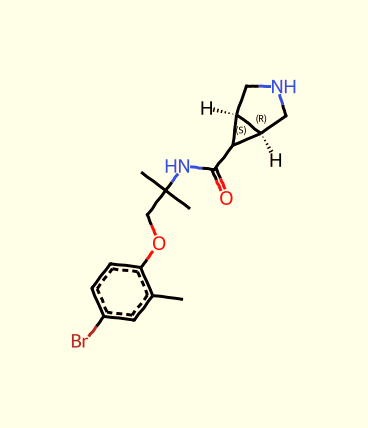 Cc1cc(Br)ccc1OCC(C)(C)NC(=O)C1[C@H]2CNC[C@@H]12